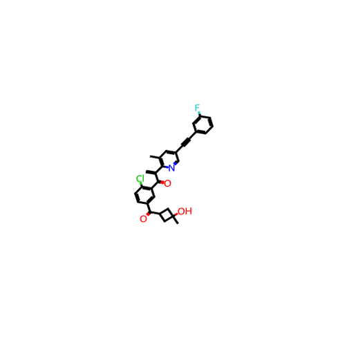 C=C(C(=O)c1cc(C(=O)C2CC(C)(O)C2)ccc1Cl)c1ncc(C#Cc2cccc(F)c2)cc1C